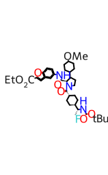 CCOC(=O)c1cc2cc(NC(=O)[C@H]3[C@@H](C4CCC(OC)CC4)CCN3C(=O)[C@H]3CC[C@H]([C@@H](CF)NC(=O)OC(C)(C)C)CC3)ccc2o1